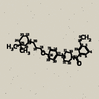 C=Cc1cccc(C(=O)N2CCN(c3ccc(OCCCN4CCCC(C)(C)C4)cc3)CC2)c1